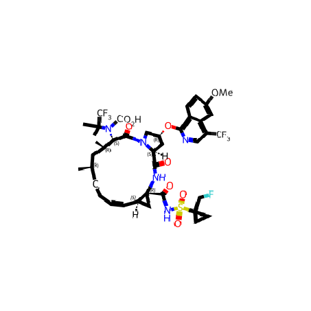 COc1ccc2c(O[C@@H]3C[C@H]4C(=O)N[C@]5(C(=O)NS(=O)(=O)C6(CF)CC6)C[C@H]5C=CCC[C@@H](C)C[C@@H](C)[C@H](N(C(=O)O)C(C)(C)C(F)(F)F)C(=O)N4C3)ncc(C(F)(F)F)c2c1